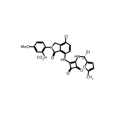 CC[C@@H](Nc1c(Nc2ccc(Cl)c3c2C(=O)N(c2ccc(OC)cc2C(=O)O)C3)c(=O)c1=O)c1ccc(C)o1